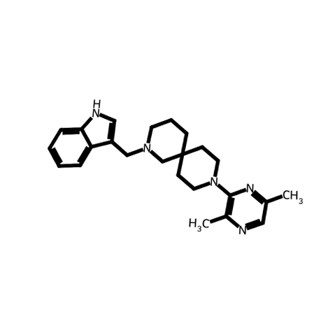 Cc1cnc(C)c(N2CCC3(CCCN(Cc4c[nH]c5ccccc45)C3)CC2)n1